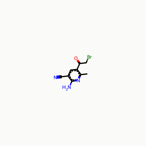 Cc1nc(N)c(C#N)cc1C(=O)CBr